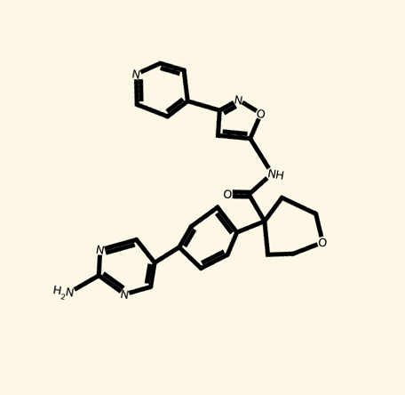 Nc1ncc(-c2ccc(C3(C(=O)Nc4cc(-c5ccncc5)no4)CCOCC3)cc2)cn1